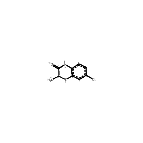 CC1Sc2cc(Cl)ccc2NC1=O